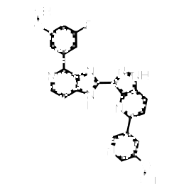 COc1cncc(-c2ccc3[nH]nc(-c4nc5c(-c6cc(F)cc(OC)c6)nccc5[nH]4)c3n2)c1